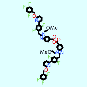 COCCn1c(Cc2cc(F)c(-c3cccc(OCc4cc(F)c(F)cc4F)n3)cc2F)nc2ccc(C(=O)OC(=O)c3ccc4nc(Cc5cc(F)c(-c6cccc(OCc7cc(F)c(F)cc7F)n6)cc5F)n(CCOC)c4c3)cc21